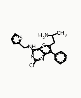 CC(N)Cc1sc2c(NCc3cccs3)nc(Cl)nc2c1-c1ccccc1